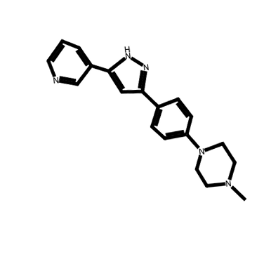 CN1CCN(c2ccc(-c3cc(-c4cccnc4)[nH]n3)cc2)CC1